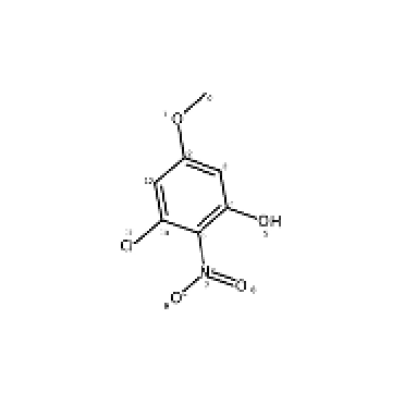 COc1cc(O)c([N+](=O)[O-])c(Cl)c1